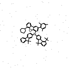 Cc1cc(C)c(-c2cc(N(c3ccc4c(c3)C(C)(C)c3ccccc3-4)c3ccc4c(c3)C(C)(C)c3cccc(C(C)(C)C)c3-4)c3oc4c(C5CCCCC5)cccc4c3c2)c(C)c1